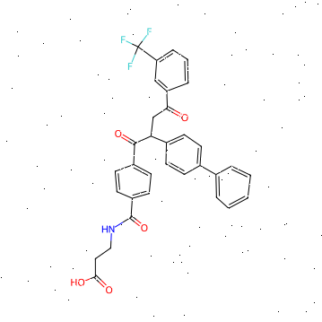 O=C(O)CCNC(=O)c1ccc(C(=O)C(CC(=O)c2cccc(C(F)(F)F)c2)c2ccc(-c3ccccc3)cc2)cc1